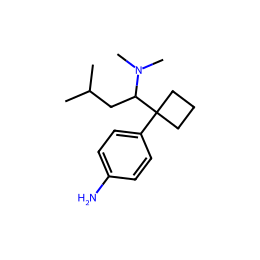 CC(C)CC(N(C)C)C1(c2ccc(N)cc2)CCC1